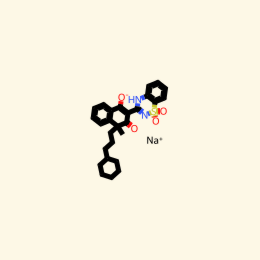 CC1(CCCC2CCCCC2)C(=O)C(C2=NS(=O)(=O)c3ccccc3N2)=C([O-])c2ccccc21.[Na+]